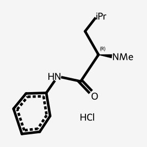 CN[C@H](CC(C)C)C(=O)Nc1ccccc1.Cl